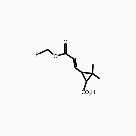 CC1(C)C(C=CC(=O)OCF)C1C(=O)O